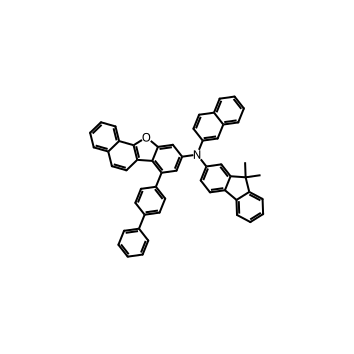 CC1(C)c2ccccc2-c2ccc(N(c3ccc4ccccc4c3)c3cc(-c4ccc(-c5ccccc5)cc4)c4c(c3)oc3c5ccccc5ccc34)cc21